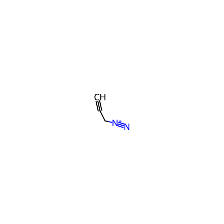 C#CC[N+]#N